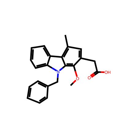 COc1c(CC(=O)O)cc(C)c2c3ccccc3n(Cc3ccccc3)c12